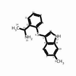 Cc1ccc2c(Sc3ccccc3C(C)N)c[nH]c2c1